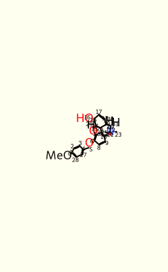 COc1ccc(COc2ccc3c4c2O[C@H]2[C@@H](O)C=C[C@H]5[C@@H](C3)N(C)CC[C@@]452)cc1